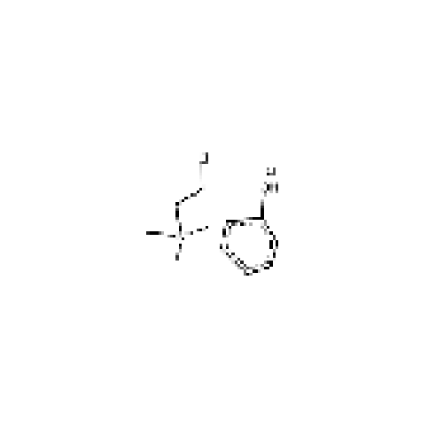 C[N+](C)(C)CCCl.Oc1ccccc1.[Cl-]